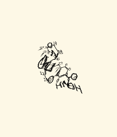 O=C(NO)c1ccc2c(c1)OCCN(C(=O)CN1CCOCC1)C2